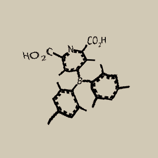 Cc1cc(C)c(B(c2c(C)cc(C)cc2C)c2c(C)c(C(=O)O)nc(C(=O)O)c2C)c(C)c1